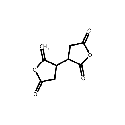 C=C1OC(=O)CC1C1CC(=O)OC1=O